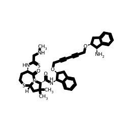 CNCC(=S)N[C@H]1CCS[C@H]2CC(C)(C)[C@@H](C(=O)N[C@H]3c4ccccc4C[C@H]3OCC#CC#CCO[C@@H]3Cc4ccccc4[C@@H]3N)N2C1=O